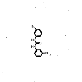 Bc1cccc(NC(=O)Nc2cccc(Br)c2)c1